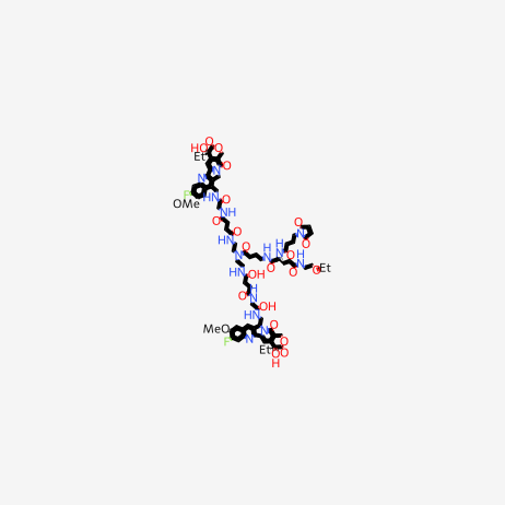 CCOCCNC(=O)CC[C@H](NC(=O)CCCN1C(=O)C=CC1=O)C(=O)NCCCC(=O)N(CCNC(=O)CCC(=O)NCC(=O)NCc1c2c(nc3cc(F)c(OC)cc13)-c1cc3c(c(=O)n1C2)COC(=O)[C@]3(O)CC)CCNC(O)CCC(=O)NCC(O)NCC1c2cc3cc(OC)c(F)cc3nc2-c2cc3c(c(=O)n21)COC(=O)[C@]3(O)CC